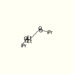 CCC(CCCCCCCCCCCCC(=O)OCCCCCC(C)C)C(CC)C(=O)OCCCCCC(C)C